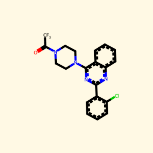 O=C(N1CCN(c2nc(-c3ccccc3Cl)nc3ccccc23)CC1)C(F)(F)F